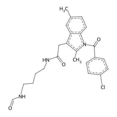 Cc1ccc2c(c1)c(CC(=O)NCCCCNC=O)c(C)n2C(=O)c1ccc(Cl)cc1